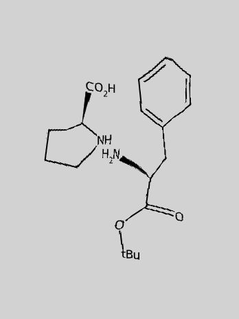 CC(C)(C)OC(=O)[C@@H](N)Cc1ccccc1.O=C(O)[C@@H]1CCCN1